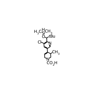 CC1CN(C(=O)O)CC=C1c1cnc(C(O[SiH](C)C)C(C)(C)C)c(Cl)c1